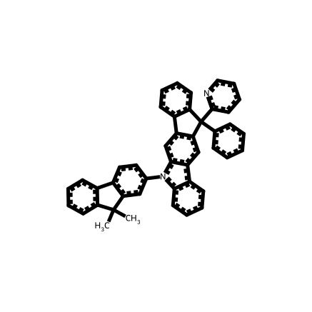 CC1(C)c2ccccc2-c2ccc(-n3c4ccccc4c4cc5c(cc43)-c3ccccc3C5(c3ccccc3)c3ccccn3)cc21